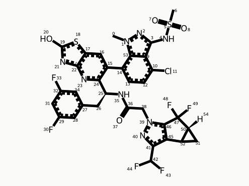 Cn1nc(NS(C)(=O)=O)c2c(Cl)ccc(-c3cc4sc(O)nc4nc3[C@H](Cc3cc(F)cc(F)c3)NC(=O)Cn3nc(C(F)F)c4c3C(F)(F)[C@@H]3CC43)c21